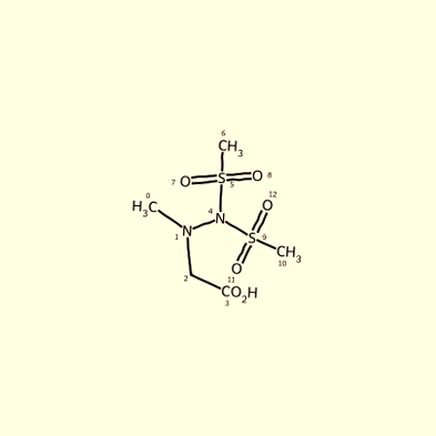 CN(CC(=O)O)N(S(C)(=O)=O)S(C)(=O)=O